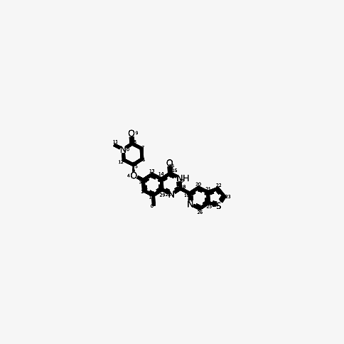 Cc1cc(O[C@@H]2CCC(=O)N(C)C2)cc2c(=O)[nH]c(-c3cc4ccsc4cn3)nc12